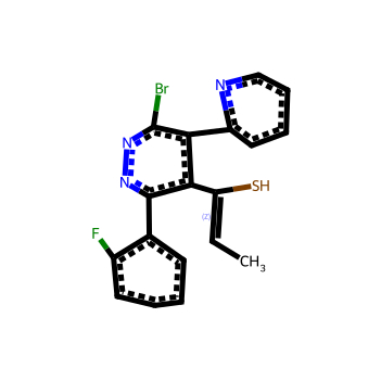 C/C=C(\S)c1c(-c2ccccc2F)nnc(Br)c1-c1ccccn1